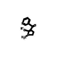 CN1CCC(C(=O)c2cccnc2)=C1[O-].[K+]